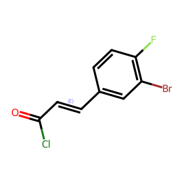 O=C(Cl)/C=C/c1ccc(F)c(Br)c1